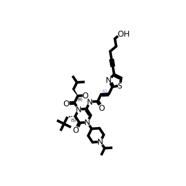 CC(C)C[C@H]1ON(C(=O)/C=C/c2nc(C#CCCCO)cs2)C2=CN(C3CCN(C(C)C)CC3)C(=O)[C@H](CC(C)(C)C)N2C1=O